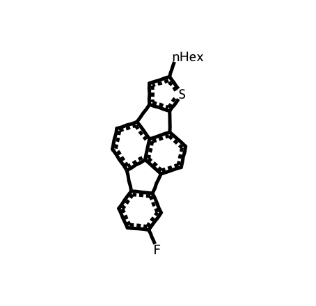 CCCCCCc1cc2c(s1)-c1ccc3c4c(ccc-2c14)-c1ccc(F)cc1-3